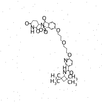 CC1(C)CC(C)(C)C1NC(=O)c1ccc(OCCCOCCCOc2ccc3c(c2)S(=O)(=O)N(C2CCC(=O)NC2=O)C3=O)nc1